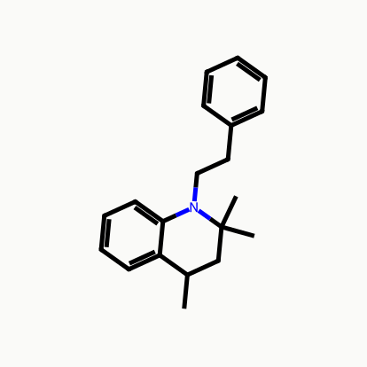 CC1CC(C)(C)N(CCc2ccccc2)c2ccccc21